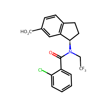 O=C(O)c1ccc2c(c1)[C@H](N(CC(F)(F)F)C(=O)c1ccccc1Cl)CC2